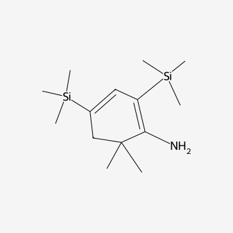 CC1(C)CC([Si](C)(C)C)=CC([Si](C)(C)C)=C1N